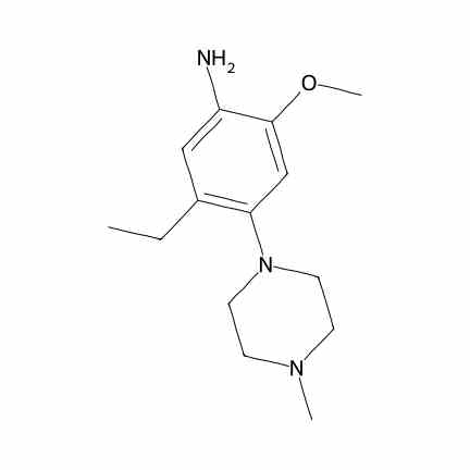 CCc1cc(N)c(OC)cc1N1CCN(C)CC1